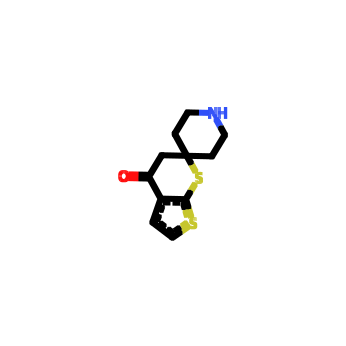 O=C1CC2(CCNCC2)Sc2sccc21